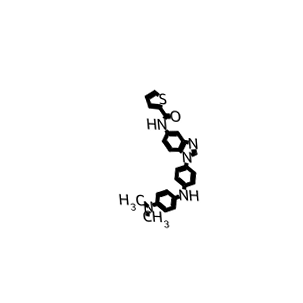 CN(C)c1ccc(Nc2ccc(-n3cnc4cc(NC(=O)c5cccs5)ccc43)cc2)cc1